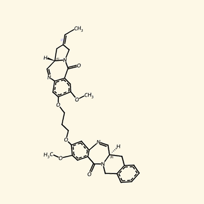 C/C=C1/C[C@H]2C=Nc3cc(OCCCOc4cc5c(cc4OC)C(=O)N4Cc6ccccc6C[C@@H]4C=N5)c(OC)cc3C(=O)N2C1